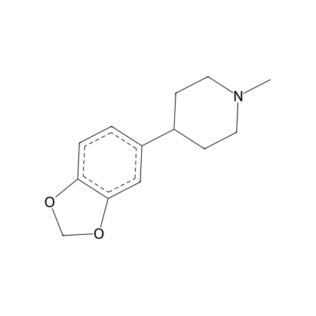 CN1CCC(c2ccc3c(c2)OCO3)CC1